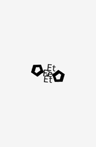 C[CH2][Fe]([CH2]C)([C]1=CC=CC1)[C]1=CC=CC1